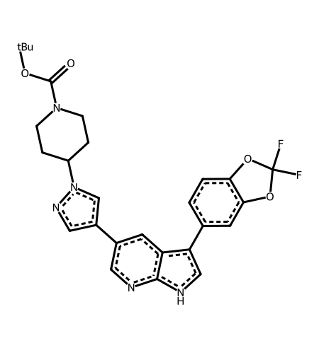 CC(C)(C)OC(=O)N1CCC(n2cc(-c3cnc4[nH]cc(-c5ccc6c(c5)OC(F)(F)O6)c4c3)cn2)CC1